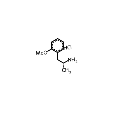 COc1ccccc1C[C@@H](C)N.Cl